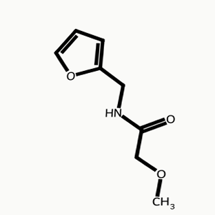 COCC(=O)NCc1ccco1